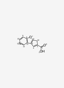 O=C(O)C1=Cc2c(oc3ccncc23)C1